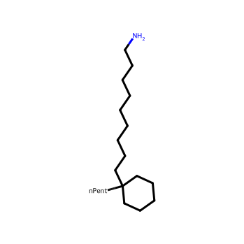 CCCCCC1(CCCCCCCCCN)CCCCC1